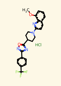 COc1cccc2ccc(N3CCC(c4nc(-c5ccc(C(F)(F)F)cc5)no4)CC3)nc12.Cl